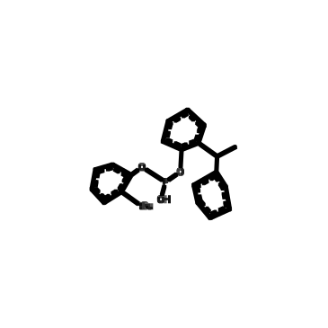 CC(c1ccccc1)c1ccccc1OP(O)Oc1ccccc1C(C)(C)C